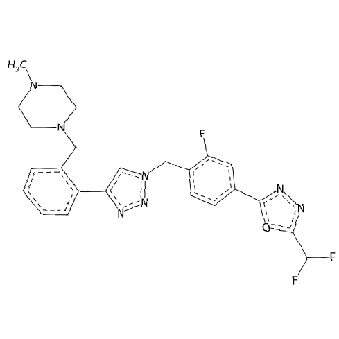 CN1CCN(Cc2ccccc2-c2cn(Cc3ccc(-c4nnc(C(F)F)o4)cc3F)nn2)CC1